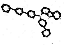 c1ccc(-c2ccc(-c3ccc(N(c4ccc(-c5ccccc5)cc4)c4cccc5c4sc4cnccc45)cc3)cc2)cc1